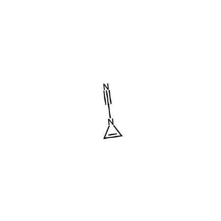 N#CN1C=C1